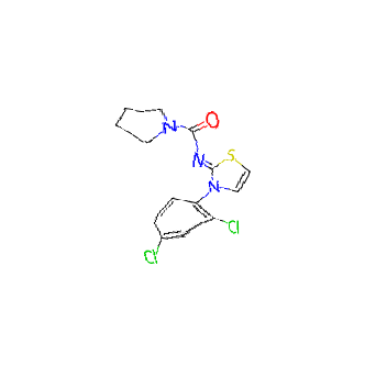 O=C(N=c1sccn1-c1ccc(Cl)cc1Cl)N1CCCC1